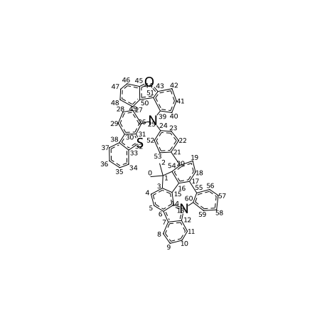 CC1(C)c2ccc3c4ccccc4n4c3c2-c2c(ccc(-c3ccc(N(c5cccc6c5sc5ccccc56)c5cccc6oc7ccccc7c56)cc3)c21)-c1ccccc1-4